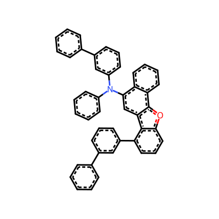 c1ccc(-c2cccc(-c3cccc4oc5c6ccccc6c(N(c6ccccc6)c6cccc(-c7ccccc7)c6)cc5c34)c2)cc1